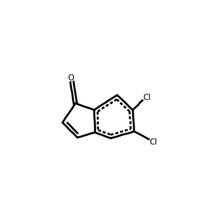 O=C1C=Cc2cc(Cl)c(Cl)cc21